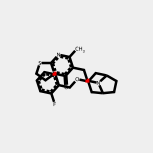 Cc1nc2n(c(=O)c1CCN1C3CCC1CC(OCc1ccccc1F)C3)CCS2